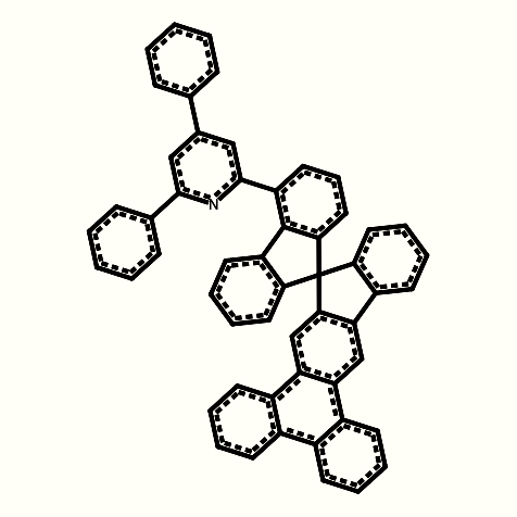 c1ccc(-c2cc(-c3ccccc3)nc(-c3cccc4c3-c3ccccc3C43c4ccccc4-c4cc5c6ccccc6c6ccccc6c5cc43)c2)cc1